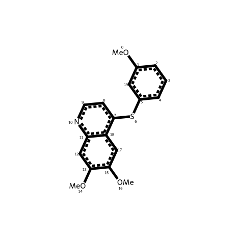 COc1cccc(Sc2ccnc3cc(OC)c(OC)cc23)c1